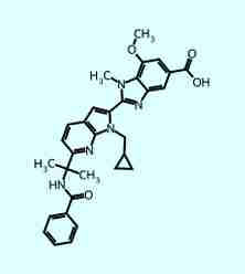 COc1cc(C(=O)O)cc2nc(-c3cc4ccc(C(C)(C)NC(=O)c5ccccc5)nc4n3CC3CC3)n(C)c12